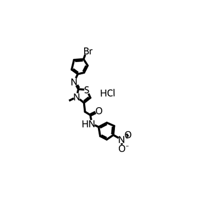 Cl.Cn1c(CC(=O)Nc2ccc([N+](=O)[O-])cc2)csc1=Nc1ccc(Br)cc1